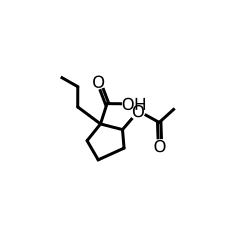 CCCC1(C(=O)O)CCCC1OC(C)=O